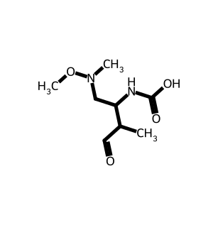 CON(C)CC(NC(=O)O)C(C)C=O